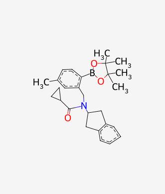 Cc1ccc(B2OC(C)(C)C(C)(C)O2)c(CN(C(=O)C2CC2)C2Cc3ccccc3C2)c1